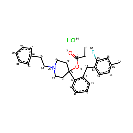 CCC(=O)OC1(c2ccccc2Cc2ccc(C)cc2F)CCN(CCc2ccccc2)CC1.Cl